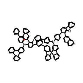 c1ccc(-c2ccc(N(c3ccc(-c4ccc5c(oc6ccccc65)c4-c4ccc5ccccc5c4)cc3)c3ccc4c(c3)C3(c5ccccc5-c5cc(-c6ccc7oc8c(-c9ccc%10ccccc%10c9)c(N(c9ccc(-c%10ccccc%10)cc9)c9ccc%10c%11ccccc%11c%11ccccc%11c%10c9)ccc8c7c6)ccc53)c3ccccc3-4)cc2)cc1